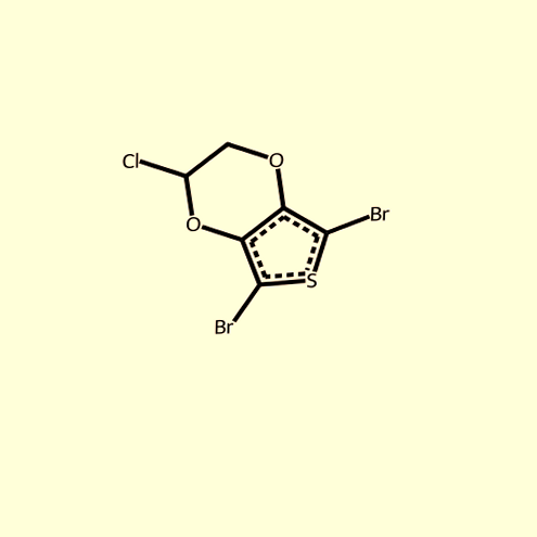 ClC1COc2c(Br)sc(Br)c2O1